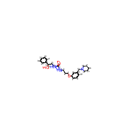 O=C(NCCCOc1cccc(CN2CCCCC2)c1)NCC(O)c1ccccc1